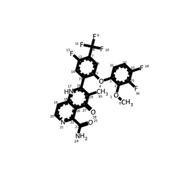 COc1c(Oc2cc(C(F)(F)F)c(F)cc2-c2[nH]c3ccnc(C(N)=O)c3c(=O)c2C)ccc(F)c1F